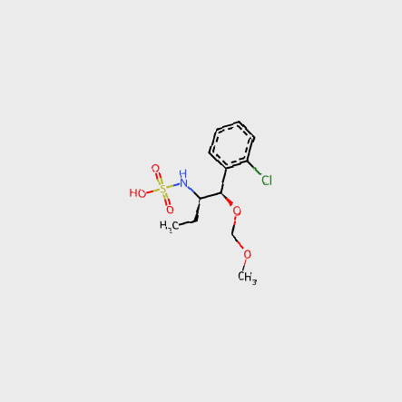 CC[C@@H](NS(=O)(=O)O)[C@H](OCOC)c1ccccc1Cl